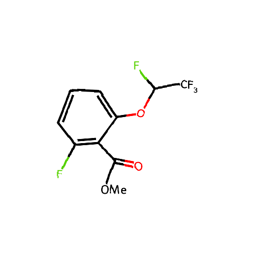 COC(=O)c1c(F)cccc1OC(F)C(F)(F)F